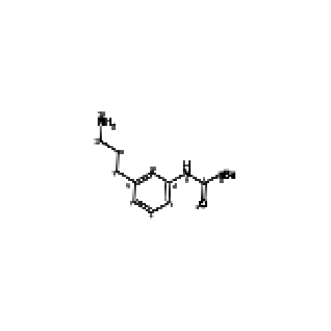 CCCCC(=O)Nc1cccc(CCCN)c1